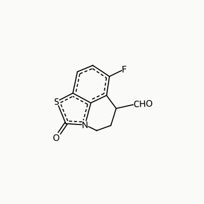 O=CC1CCn2c(=O)sc3ccc(F)c1c32